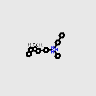 CC1(C)c2cc(-c3ccc(-c4nc(-c5ccccc5)nc(-c5ccc(-c6ccccc6)cc5)n4)cc3)ccc2-c2c1ccc1ccccc21